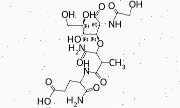 CC(C(=O)NC(CCC(=O)O)C(N)=O)C(O[C@@H]([C@H](O)[C@H](O)CO)[C@H](C=O)NC(=O)CO)C(N)=O